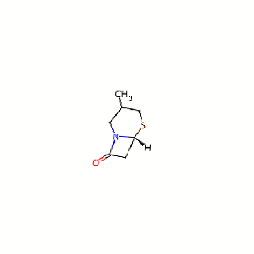 CC1CS[C@@H]2CC(=O)N2C1